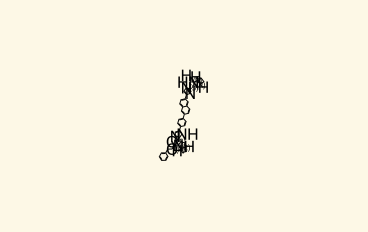 O=C(OCc1ccccc1)N1[C@@H]2CC[C@@H]2C[C@H]1c1ncc(-c2ccc(-c3ccc4cc(-c5c[nH]c([C@@H]6C[C@H]7CC[C@H]7N6)n5)ccc4c3)cc2)[nH]1